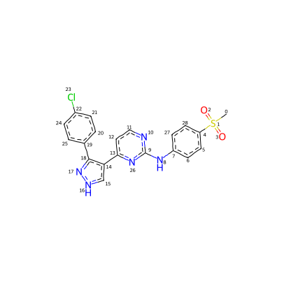 CS(=O)(=O)c1ccc(Nc2nccc(-c3c[nH]nc3-c3ccc(Cl)cc3)n2)cc1